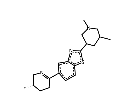 CC1CC(c2nc3cc(C4=NC[C@@H](C)CC4)ccc3s2)CN(C)C1